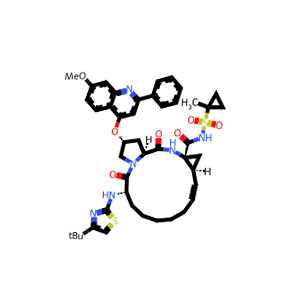 COc1ccc2c(O[C@@H]3C[C@H]4C(=O)N[C@]5(C(=O)NS(=O)(=O)C6(C)CC6)C[C@H]5/C=C\CCCCC[C@H](Nc5nc(C(C)(C)C)cs5)C(=O)N4C3)cc(-c3ccccc3)nc2c1